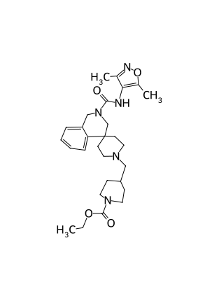 CCOC(=O)N1CCC(CN2CCC3(CC2)CN(C(=O)Nc2c(C)noc2C)Cc2ccccc23)CC1